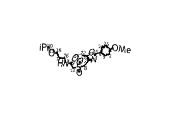 COc1ccc(-c2nc(CS(=O)(=O)CC(=O)NCCCOC(C)C)c(C)o2)cc1